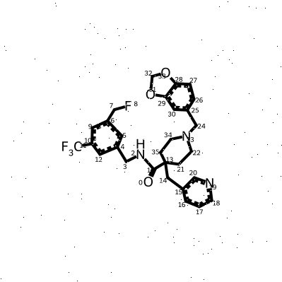 O=C(NCc1cc(CF)cc(C(F)(F)F)c1)C1(Cc2cccnc2)CCN(Cc2ccc3c(c2)OCO3)CC1